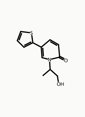 CC(CO)n1cc(-c2cccs2)ccc1=O